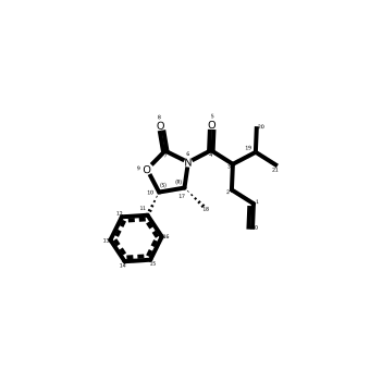 C=CCC(C(=O)N1C(=O)O[C@@H](c2ccccc2)[C@H]1C)C(C)C